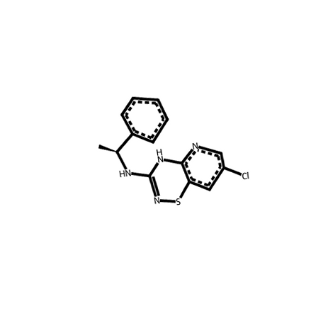 C[C@H](NC1=NSc2cc(Cl)cnc2N1)c1ccccc1